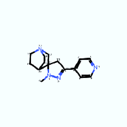 CN1N=C(c2ccncc2)CC12CN1CCC2CC1